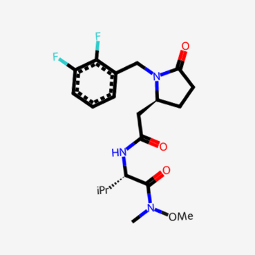 CON(C)C(=O)[C@@H](NC(=O)C[C@@H]1CCC(=O)N1Cc1cccc(F)c1F)C(C)C